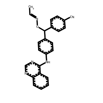 CC=NOC(c1ccc(C#N)cc1)c1ccc(Nc2ncnc3ccccc23)cc1